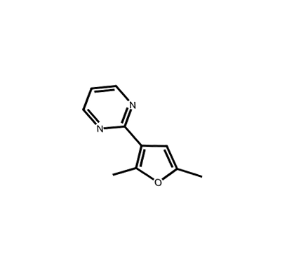 Cc1cc(-c2ncccn2)c(C)o1